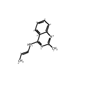 C/C=C/Nc1nc(C)nc2ccccc12